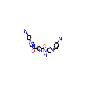 N#Cc1ccc(CN2CCC(NC(=O)c3ccc(C(=O)N4CCN(c5ccc(C#N)cc5)CC4)cn3)CC2)cc1